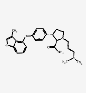 Cc1c[nH]c2nccc(Oc3ccc([C@@H]4CCN(CCCN(C)C)[C@H]4C(N)=O)cc3)c12